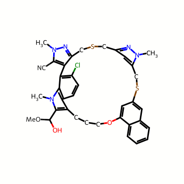 COC(O)c1c2c3ccc(Cl)c(c3n1C)-c1c(nn(C)c1C#N)CSCc1cc(n(C)n1)CSc1cc(c3ccccc3c1)OCCC2